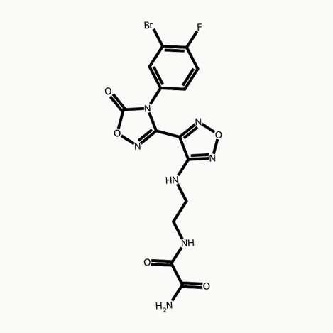 NC(=O)C(=O)NCCNc1nonc1-c1noc(=O)n1-c1ccc(F)c(Br)c1